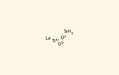 [La].[O-2].[O-2].[SrH2].[Ti+4]